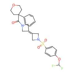 O=C(N1CC(=C2CN(S(=O)(=O)c3ccc(OC(F)F)cc3)C2)C1)C1(c2ccccc2)CCOCC1